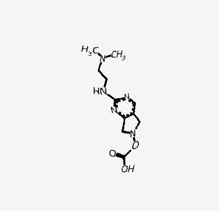 CN(C)CCNc1ncc2c(n1)CN(OC(=O)O)C2